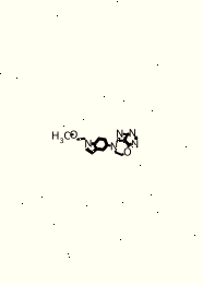 COCCn1ccc2cc(N3CCOc4ncnc5c4C3=N5)ccc21